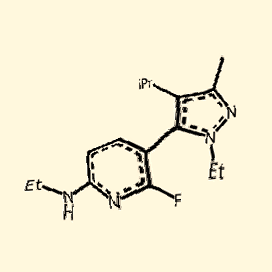 CCNc1ccc(-c2c(C(C)C)c(C)nn2CC)c(F)n1